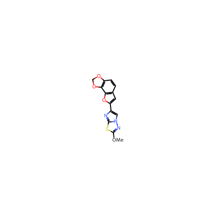 COc1nn2cc(-c3cc4ccc5c(c4o3)OCO5)nc2s1